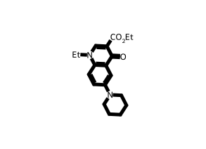 CCOC(=O)c1cn(CC)c2ccc(N3CCCCC3)cc2c1=O